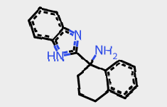 NC1(c2nc3ccccc3[nH]2)CCCc2ccccc21